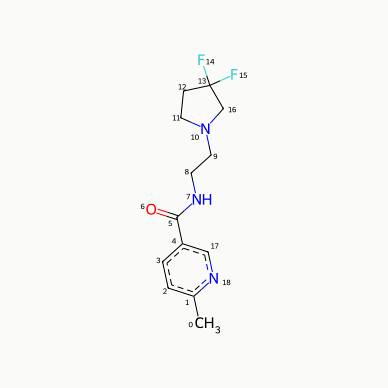 Cc1ccc(C(=O)NCCN2CCC(F)(F)C2)cn1